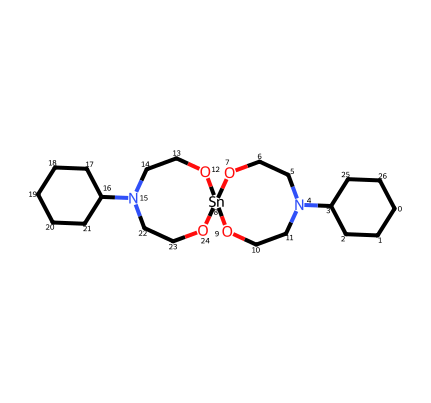 C1CCC(N2CC[O][Sn]3([O]CC2)[O]CCN(C2CCCCC2)CC[O]3)CC1